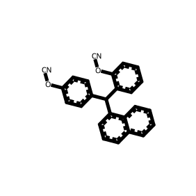 N#COc1ccc(C(c2ccccc2OC#N)c2cccc3ccccc23)cc1